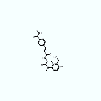 CNC(=O)c1ccc(/C=C/C(=O)NCC(=O)N(C)c2ccc(C)c(CO)c2C)cc1